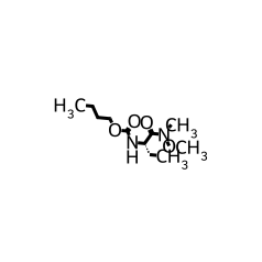 CCCCOC(=O)N[C@@H](CC)C(=O)N(C)OC